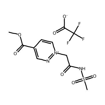 COC(=O)c1cc[n+](CC(=O)NS(C)(=O)=O)nc1.O=C([O-])C(F)(F)F